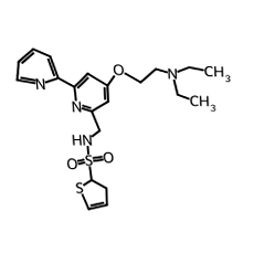 CCN(CC)CCOc1cc(CNS(=O)(=O)C2CC=CS2)nc(-c2ccccn2)c1